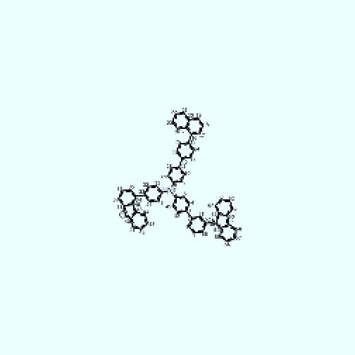 c1cc(-c2ccc(N(c3ccc(-c4ccc(-c5cccc6ccccc56)cc4)cc3)c3ccc(-c4cccc5oc6ccccc6c45)cc3)cc2)cc(-n2c3ccccc3c3ccccc32)c1